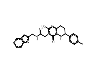 O=C(Cn1c(C(F)(F)F)nc2c(c1=O)NC(c1ccc(F)cc1)CC2)NCc1cc2cnccc2s1